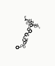 CNc1cc(N2CCc3c(-c4ccc(CN5CCC6(CCN(C(=O)OCc7ccccc7)C6)C(F)(F)C5)cn4)cccc32)nn2c(C(=O)N[C@@H]3C[C@@H]3F)cnc12